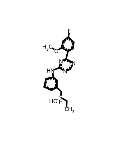 CC[SH](O)Cc1cccc(Nc2ncnc(-c3ccc(F)cc3OC)n2)c1